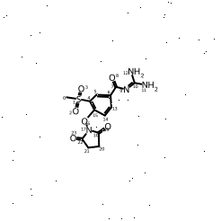 CS(=O)(=O)c1cc(C(=O)N=C(N)N)ccc1ON1C(=O)CCC1=O